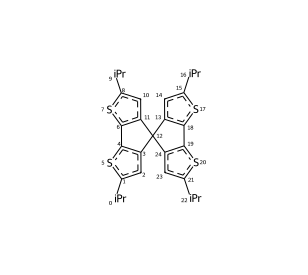 CC(C)c1cc2c(s1)-c1sc(C(C)C)cc1C21c2cc(C(C)C)sc2-c2sc(C(C)C)cc21